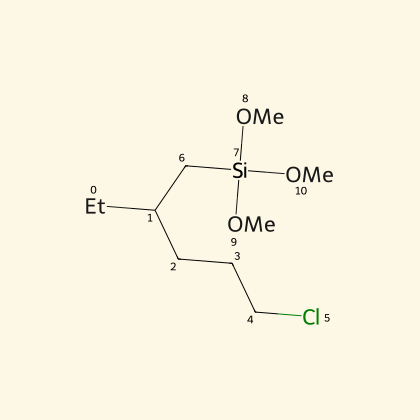 CCC(CCCCl)C[Si](OC)(OC)OC